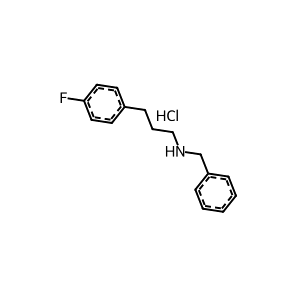 Cl.Fc1ccc(CCCNCc2ccccc2)cc1